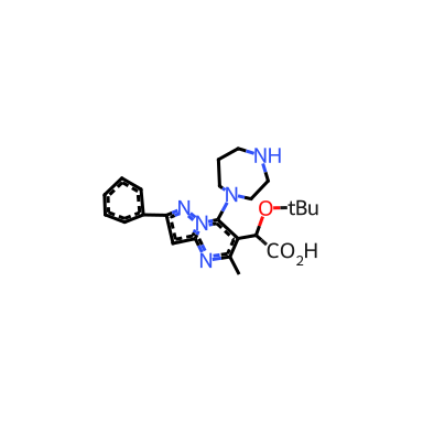 Cc1nc2cc(-c3ccccc3)nn2c(N2CCCNCC2)c1C(OC(C)(C)C)C(=O)O